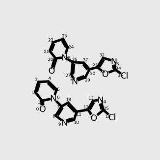 O=c1ccccn1-c1cncc(-c2cnc(Cl)o2)c1.O=c1ccccn1-c1cncc(-c2cnc(Cl)o2)c1